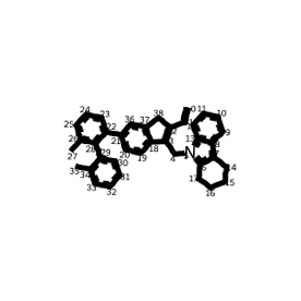 C=CC1=C(Cn2c3c(c4ccccc42)CCCC3)c2ccc(-c3cccc(C)c3-c3ccccc3C)cc2C1